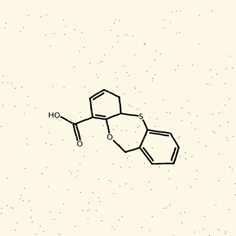 O=C(O)C1=C2OCc3ccccc3SC2CC=C1